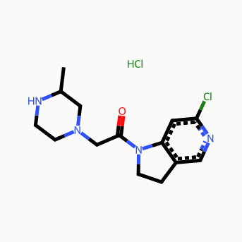 CC1CN(CC(=O)N2CCc3cnc(Cl)cc32)CCN1.Cl